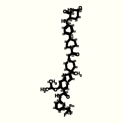 CC(C)Oc1cc2nc(C3(C)CCN(CC(=O)N4CCC(c5ccc(NC6CCC(=O)NC6=O)cc5)CC4)CC3)cn2cc1C(=O)Nc1cccc(C(F)(F)F)n1